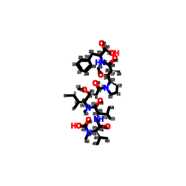 CCC(C)[C@@H]([C@@H](CC(=O)N1CCC[C@H]1[C@H](OC)[C@@H](C)C(=O)NC(Cc1ccccc1)C(=O)O)OC)N(C)C(=O)[C@@H](NC(=O)[C@H](C(C)C)N(C)C(=O)O)C(C)C